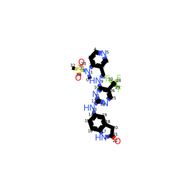 CN(c1ccncc1CNc1nc(Nc2ccc3c(c2)CC(=O)N3)ncc1C(F)(F)F)S(C)(=O)=O